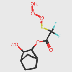 O=C(OC1C2CCC(C2)C1O)C(F)(F)SOOO